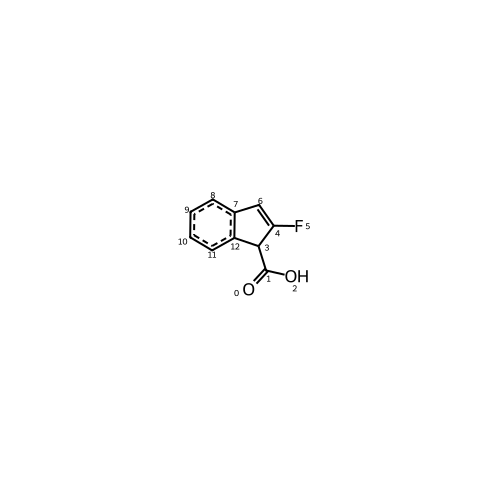 O=C(O)C1C(F)=Cc2ccccc21